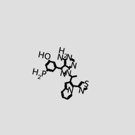 CC(c1cc2ccccn2c1-c1cscn1)n1nc(-c2cc(O)cc(P)c2)c2c(N)ncnc21